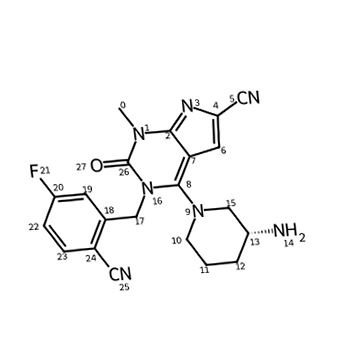 Cn1c2nc(C#N)cc-2c(N2CCC[C@@H](N)C2)n(Cc2cc(F)ccc2C#N)c1=O